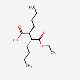 CCCC[C@H](C(=O)O)[C@@H](CCCC)C(=O)OCC